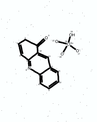 O=C1CC=Cc2nc3ccccc3cc21.[O-][Cl+3]([O-])([O-])O